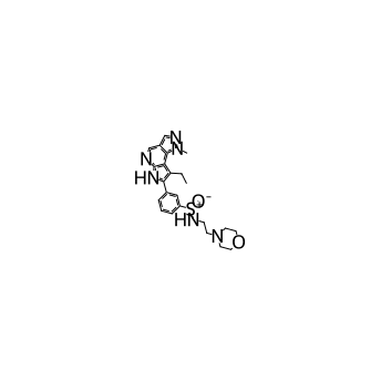 CCc1c(-c2cccc([S+]([O-])NCCN3CCOCC3)c2)[nH]c2ncc3cnn(C)c3c12